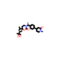 CC(C)[C@]1(CCC(C)(C)O)CCN([C@@H](C)c2ccc(-c3ccn(C)c(=O)c3)cc2)C(=O)O1